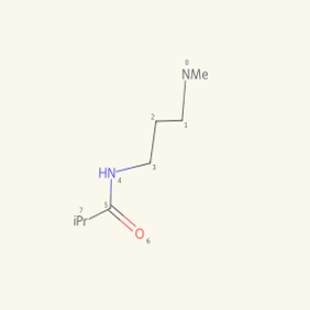 CNCCCNC(=O)C(C)C